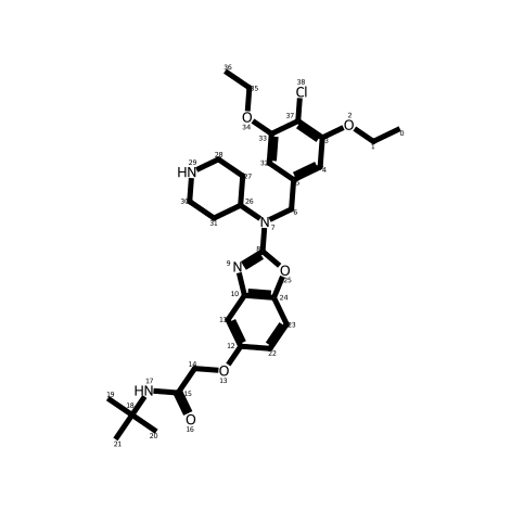 CCOc1cc(CN(c2nc3cc(OCC(=O)NC(C)(C)C)ccc3o2)C2CCNCC2)cc(OCC)c1Cl